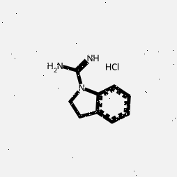 Cl.N=C(N)N1CCc2ccccc21